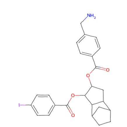 NCc1ccc(C(=O)OC2CC3C4CCC(C4)C3C2OC(=O)c2ccc(I)cc2)cc1